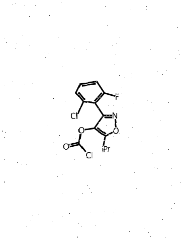 CC(C)c1onc(-c2c(F)cccc2Cl)c1OC(=O)Cl